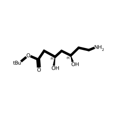 CC(C)(C)OC(=O)C[C@H](O)C[C@H](O)CCN